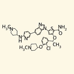 C[C@@H](Oc1cc(-n2cnc3cc(-c4ccc(NC5CCN(C)CC5)nc4)ccc32)sc1C(N)=O)c1cccc(OC2CCN(C)CC2)c1Cl